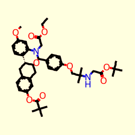 CCOC(=O)CN(C(=O)c1ccc(OCC(C)(C)NCC(=O)OC(C)(C)C)cc1)c1cc(OC)ccc1[C@@H]1CCc2cc(OC(=O)C(C)(C)C)ccc2C1